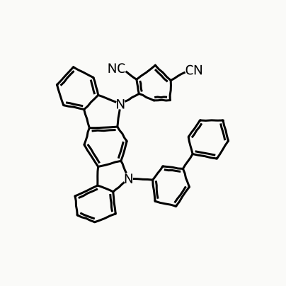 N#Cc1ccc(-n2c3ccccc3c3cc4c5ccccc5n(-c5cccc(-c6ccccc6)c5)c4cc32)c(C#N)c1